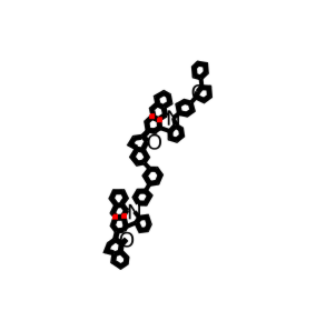 c1ccc(-c2cccc(-c3ccc(N(c4ccccc4-c4cccc5c4oc4c6cc(-c7cccc(-c8ccc(N(c9ccccc9-c9cccc%10c9oc9c%11ccccc%11ccc%109)c9cccc%10ccccc9%10)cc8)c7)ccc6ccc54)c4cccc5ccccc45)cc3)c2)cc1